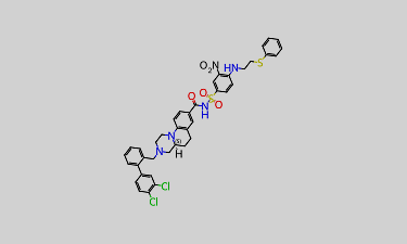 O=C(NS(=O)(=O)c1ccc(NCCSc2ccccc2)c([N+](=O)[O-])c1)c1ccc2c(c1)CC[C@H]1CN(Cc3ccccc3-c3ccc(Cl)c(Cl)c3)CCN21